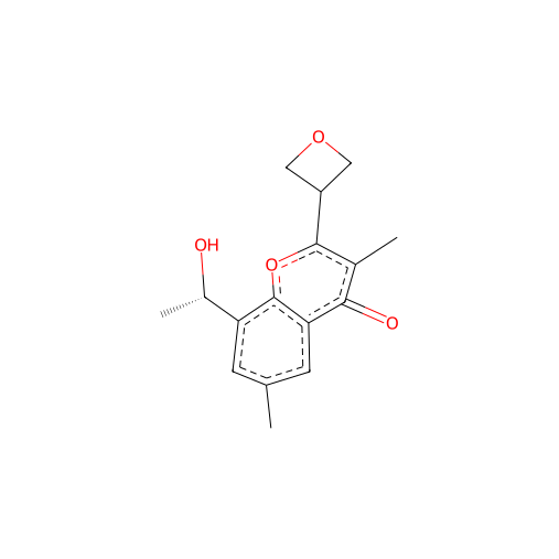 Cc1cc([C@H](C)O)c2oc(C3COC3)c(C)c(=O)c2c1